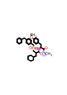 CNC(=O)C(Cc1ccc(OC)cc1)NC(=O)C(CC1CCCCC1)CP(=O)(O)Cc1ccc(Cc2ccccc2)cc1